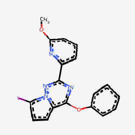 COc1cccc(-c2nc(Oc3ccccc3)c3ccc(I)n3n2)n1